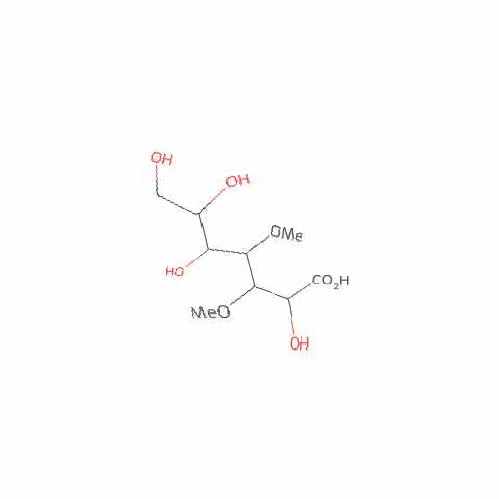 COC(C(O)C(=O)O)C(OC)C(O)C(O)CO